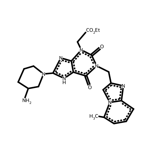 CCOC(=O)Cn1c(=O)n(Cc2cn3c(C)cccc3n2)c(=O)c2[nH]c(N3CCCC(N)C3)nc21